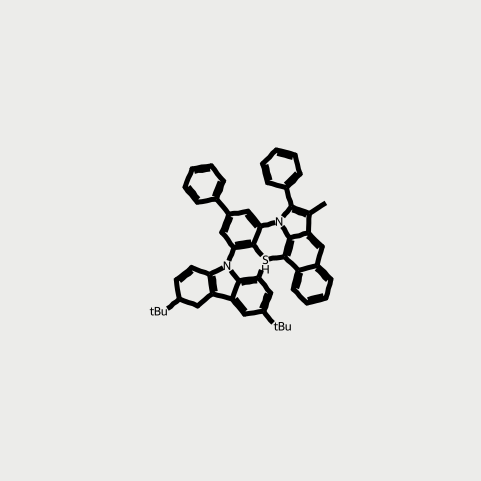 Cc1c(-c2ccccc2)n2c3c(c4ccccc4cc13)[SH]1c3c(cc(-c4ccccc4)cc3-2)-n2c3c(c4cc(C(C)(C)C)cc1c42)CC(C(C)(C)C)C=C3